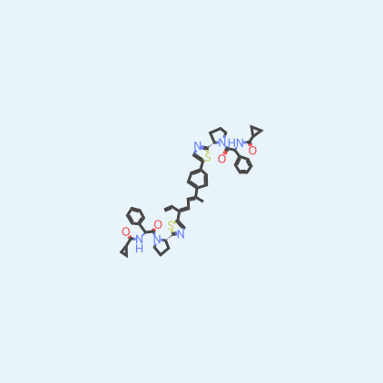 C=C/C(=C\C=C(/C)c1ccc(-c2cnc([C@@H]3CCCN3C(=O)[C@@H](NC(=O)C3CC3)c3ccccc3)s2)cc1)c1cnc([C@@H]2CCCN2C(=O)[C@@H](NC(=O)C2CC2)c2ccccc2)s1